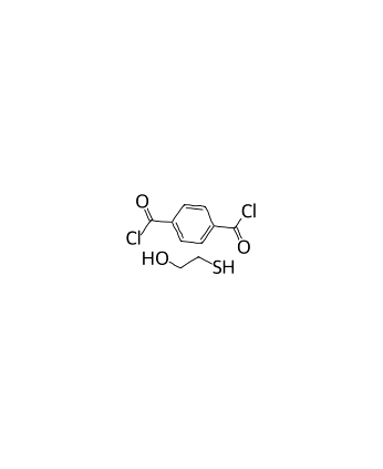 O=C(Cl)c1ccc(C(=O)Cl)cc1.OCCS